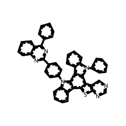 c1ccc(-c2nc(-c3ccc(-n4c5ccccc5c5c6sc7ncncc7c6c6c(c7ccccc7n6-c6ccccc6)c54)cc3)nc3ccccc23)cc1